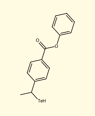 CC([TeH])c1ccc(C(=O)Oc2ccccc2)cc1